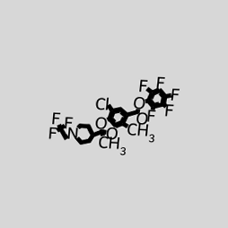 Cc1c(C(=O)Oc2c(F)c(F)c(F)c(F)c2F)cc(Cl)c2c1OC(C)(C1CCN(CC(F)(F)F)CC1)O2